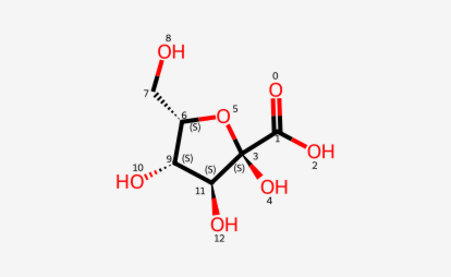 O=C(O)[C@@]1(O)O[C@@H](CO)[C@@H](O)[C@@H]1O